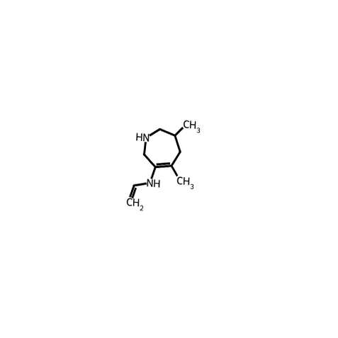 C=CNC1=C(C)CC(C)CNC1